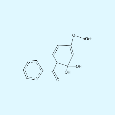 CCCCCCCCOC1=CC(O)(O)C(C(=O)c2ccccc2)C=C1